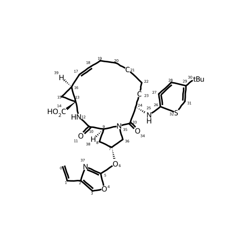 C=Cc1coc(O[C@@H]2C[C@H]3C(=O)N[C@]4(C(=O)O)C[C@H]4/C=C\CCCCC[C@H](NC4=C=CC(C(C)(C)C)=CS4)C(=O)N3C2)n1